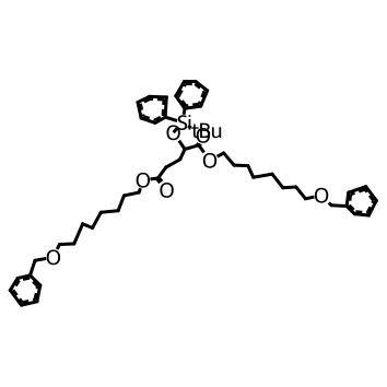 CC(C)(C)[Si](OC(CCC(=O)OCCCCCCCCOCc1ccccc1)C(=O)OCCCCCCCCOCc1ccccc1)(c1ccccc1)c1ccccc1